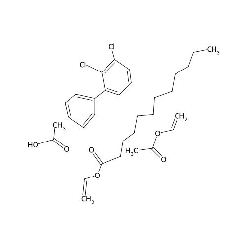 C=COC(=O)CCCCCCCCCCC.C=COC(C)=O.CC(=O)O.Clc1cccc(-c2ccccc2)c1Cl